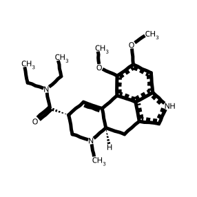 CCN(CC)C(=O)[C@@H]1C=C2c3c(OC)c(OC)cc4[nH]cc(c34)C[C@H]2N(C)C1